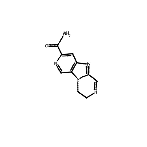 NC(=O)c1cc2nc3n(c2cn1)CCN=C3